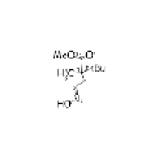 COC(=O)C(C)(CC=NO)C(C)(C)C